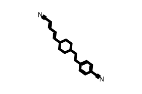 N#CC=CC=CC1CCC(CCc2ccc(C#N)cc2)CC1